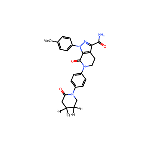 [2H]C1([2H])CC(=O)N(c2ccc(N3CCc4c(C(N)=O)nn(-c5ccc(OC)cc5)c4C3=O)cc2)CC1([2H])[2H]